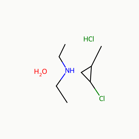 CC1CC1Cl.CCNCC.Cl.O